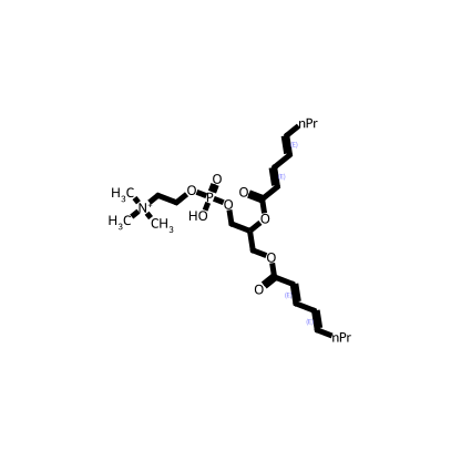 CCC/C=C/C=C/C(=O)OCC(COP(=O)(O)OCC[N+](C)(C)C)OC(=O)/C=C/C=C/CCC